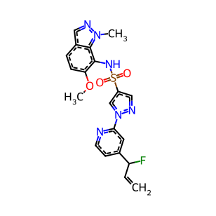 C=CC(F)c1ccnc(-n2cc(S(=O)(=O)Nc3c(OC)ccc4cnn(C)c34)cn2)c1